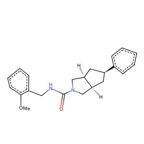 COc1ccccc1CNC(=O)N1C[C@H]2C[C@@H](c3ccccc3)C[C@H]2C1